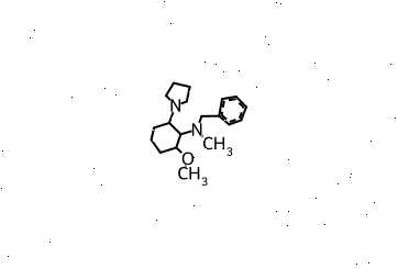 COC1CCCC(N2CCCC2)C1N(C)Cc1ccccc1